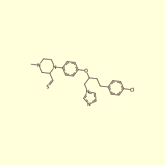 CN1CCN(c2ccc(OC(CCc3ccc(Cl)cc3)Cn3ccnc3)cc2)C(C=S)C1